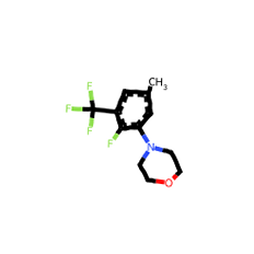 Cc1cc(N2CCOCC2)c(F)c(C(F)(F)F)c1